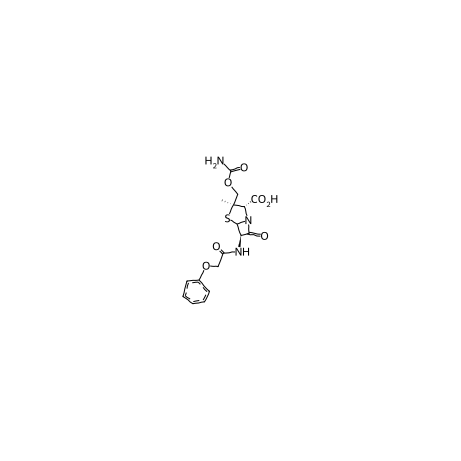 C[C@@]1(COC(N)=O)SC2[C@H](NC(=O)COc3ccccc3)C(=O)N2[C@H]1C(=O)O